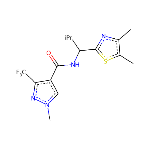 Cc1nc(C(NC(=O)c2cn(C)nc2C(F)(F)F)C(C)C)sc1C